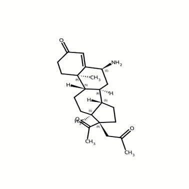 CC(=O)C[C@]1(C(C)=O)CC[C@H]2[C@@H]3C[C@H](N)C4=CC(=O)CC[C@]4(C)[C@H]3CC[C@@]21C